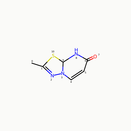 CC1=NN2C=CC(=O)NC2S1